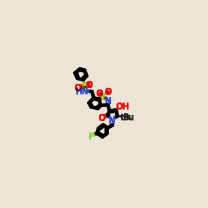 CC(C)(C)[C@H]1C(O)=C(C2=NS(=O)(=O)c3c(CNS(=O)(=O)c4ccccc4)cccc32)C(=O)N1Cc1ccc(F)cc1